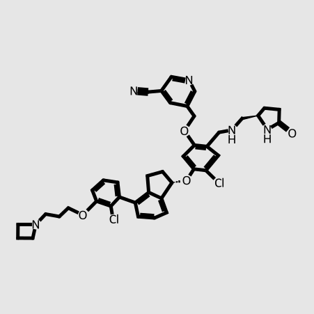 N#Cc1cncc(COc2cc(O[C@H]3CCc4c(-c5cccc(OCCCN6CCC6)c5Cl)cccc43)c(Cl)cc2CNC[C@H]2CCC(=O)N2)c1